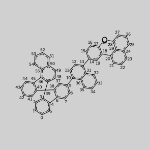 c1ccc2c(c1)-c1ccc(-c3ccc(-c4ccc5c(c4)-c4cccc6cccc(c46)O5)c4ccccc34)cc1C21c2ccccc2-c2c1ccc1ccccc21